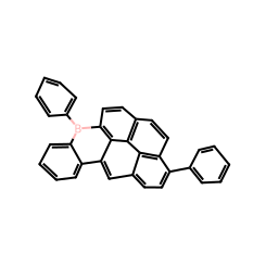 c1ccc(B2c3ccccc3-c3cc4ccc(-c5ccccc5)c5ccc6ccc2c3c6c45)cc1